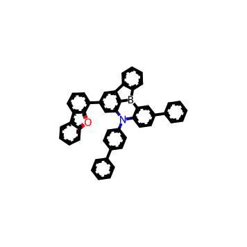 c1ccc(-c2ccc(N3c4ccc(-c5ccccc5)cc4B4c5ccccc5-c5cc(-c6cccc7c6oc6ccccc67)cc3c54)cc2)cc1